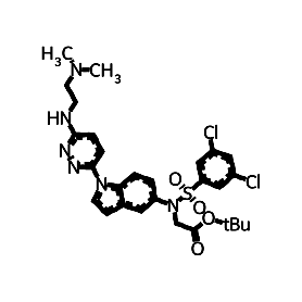 CN(C)CCNc1ccc(-n2ccc3cc(N(CC(=O)OC(C)(C)C)S(=O)(=O)c4cc(Cl)cc(Cl)c4)ccc32)nn1